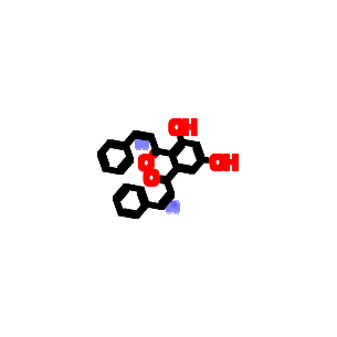 O=C(/C=C\c1ccccc1)c1cc(O)cc(O)c1C(=O)/C=C\c1ccccc1